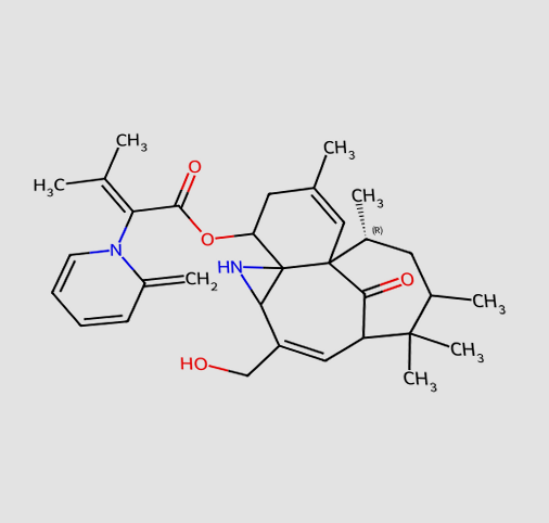 C=C1C=CC=CN1C(C(=O)OC1CC(C)=CC23C(=O)C(C=C(CO)C4NC142)C(C)(C)C(C)C[C@H]3C)=C(C)C